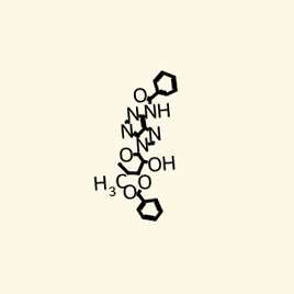 CC1COC(n2cnc3c(NC(=O)c4ccccc4)ncnc32)C(O)C1OC(=O)c1ccccc1